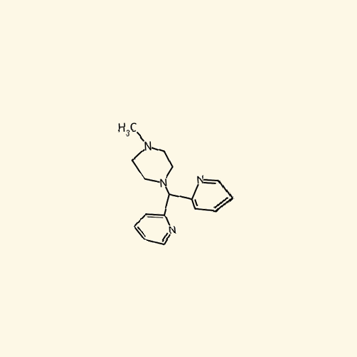 CN1CCN(C(c2ccccn2)c2ccccn2)CC1